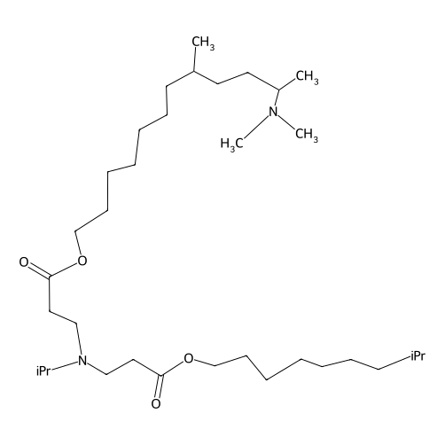 CC(C)CCCCCCCOC(=O)CCN(CCC(=O)OCCCCCCCC(C)CCC(C)N(C)C)C(C)C